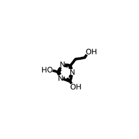 OCCc1nc(O)nc(O)n1